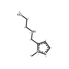 Cn1nccc1CNCCO